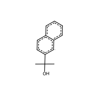 CC(C)(O)c1[c]c2ccccc2cc1